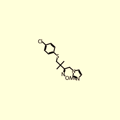 CON=C(Cn1ccnc1)C(C)(C)CSc1ccc(Cl)cc1